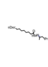 CCCCCCCCCCCCCCCCCC(=O)N/N=C(\C)CC(C)C